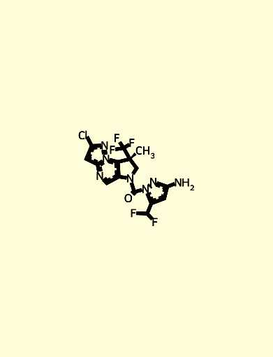 C[C@@]1(C(F)(F)F)CN(C(=O)n2nc(N)cc2C(F)F)c2cnc3cc(Cl)nn3c21